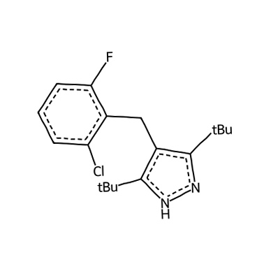 CC(C)(C)c1n[nH]c(C(C)(C)C)c1Cc1c(F)cccc1Cl